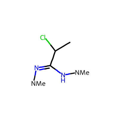 CNN=C(NNC)C(C)Cl